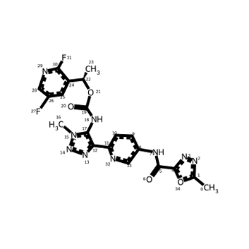 Cc1nnc(C(=O)Nc2ccc(-c3nnn(C)c3NC(=O)O[C@H](C)c3cc(F)cnc3F)nc2)o1